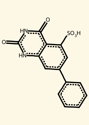 O=c1[nH]c(=O)c2c(S(=O)(=O)O)cc(-c3ccccc3)cc2[nH]1